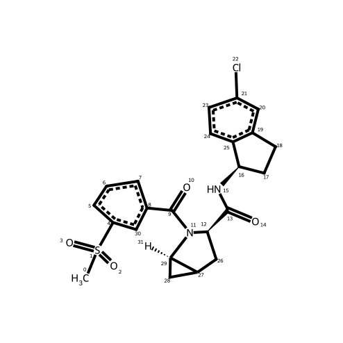 CS(=O)(=O)c1cccc(C(=O)N2[C@@H](C(=O)N[C@@H]3CCc4cc(Cl)ccc43)CC3C[C@H]32)c1